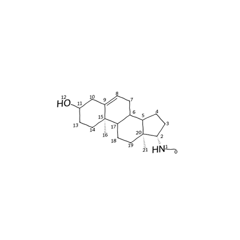 CN[C@H]1CCC2C3CC=C4CC(O)CC[C@]4(C)C3CC[C@@]21C